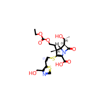 CCOC(=O)OCC[C@@]1(C)C(S/C=C\c2scnc2CO)=C(C(=O)O)N2C(=O)[C@H]([C@@H](C)O)[C@H]21